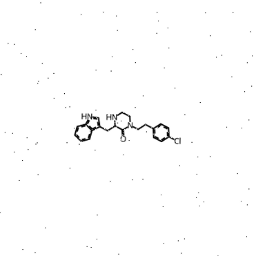 O=C1C(Cc2c[nH]c3ccccc23)NCCN1CCc1ccc(Cl)cc1